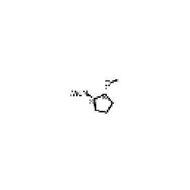 CN[C@@H]1CCC[C@H]1OI